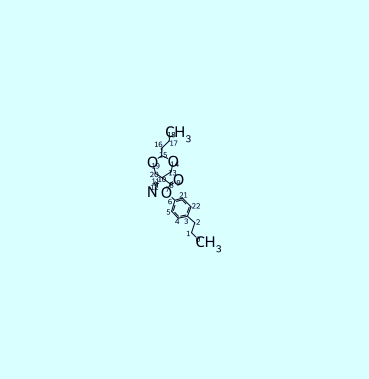 CCCc1ccc(OC(=O)[C@]2(C#N)CO[C@H](CCC)OC2)cc1